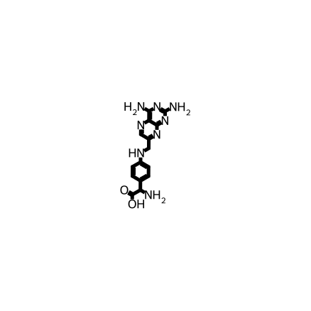 Nc1nc(N)c2ncc(CNc3ccc(C(N)C(=O)O)cc3)nc2n1